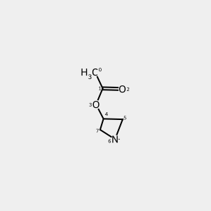 CC(=O)OC1C[N]C1